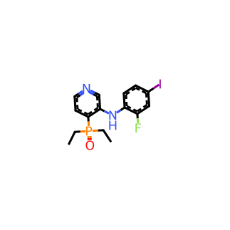 CCP(=O)(CC)c1ccncc1Nc1ccc(I)cc1F